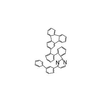 c1ccc(-c2cccc(-c3ccnc(-c4ccccc4-c4ccccc4-c4ccc5c6ccccc6c6ccccc6c5c4)n3)c2)cc1